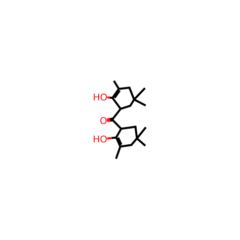 CC1=C(O)C(C(=O)C2CC(C)(C)CC(C)=C2O)CC(C)(C)C1